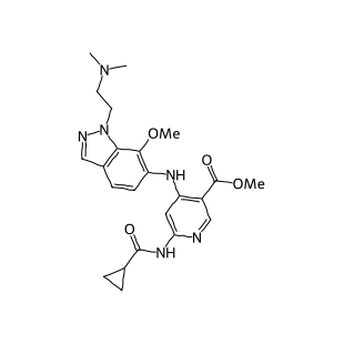 COC(=O)c1cnc(NC(=O)C2CC2)cc1Nc1ccc2cnn(CCN(C)C)c2c1OC